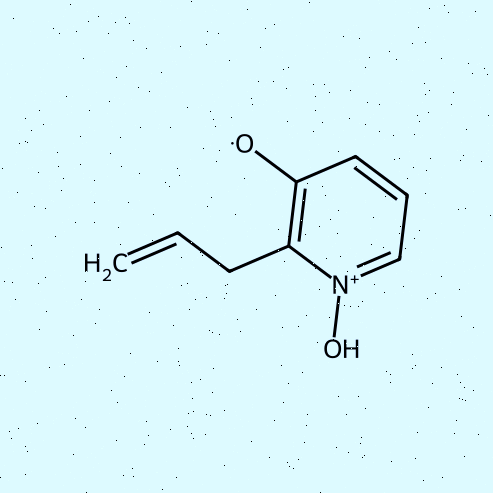 C=CCc1c([O])ccc[n+]1O